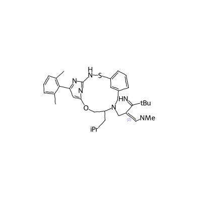 CN/C=C(/CN1Cc2cccc(c2)SNc2nc(cc(-c3c(C)cccc3C)n2)OCC1CC(C)C)C(=N)C(C)(C)C